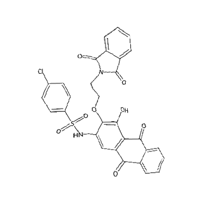 O=C1c2ccccc2C(=O)c2c1cc(NS(=O)(=O)c1ccc(Cl)cc1)c(OCCN1C(=O)c3ccccc3C1=O)c2O